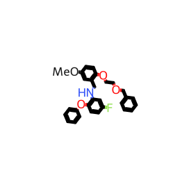 COc1ccc(OCCOCc2ccccc2)c(CNc2cc(F)ccc2Oc2ccccc2)c1